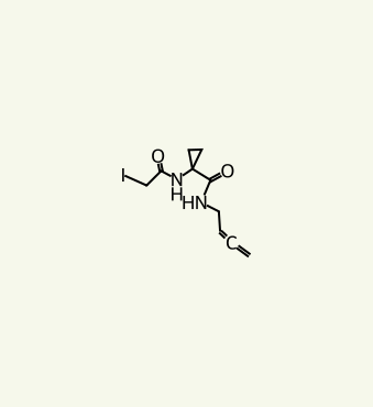 C=C=CCNC(=O)C1(NC(=O)CI)CC1